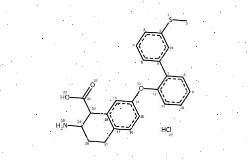 CSc1cccc(-c2ccccc2Oc2ccc3c(c2)C(C(=O)O)C(N)CC3)c1.Cl